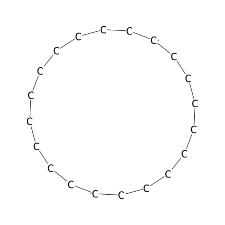 [CH]1CCCCCCCC[CH]CCCCCCCCCC1